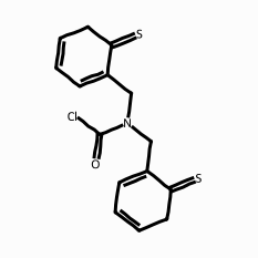 O=C(Cl)N(CC1=CC=CCC1=S)CC1=CC=CCC1=S